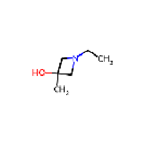 CCN1CC(C)(O)C1